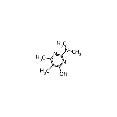 Cc1nc(N(C)C)nc(O)c1C